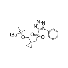 CC(C)(C)[Si](C)(C)OCC1(CS(=O)(=O)c2nnnn2-c2ccccc2)CC1